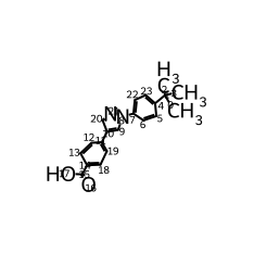 CC(C)(C)c1ccc(-n2cc(-c3ccc(C(=O)O)cc3)cn2)cc1